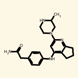 CC1CN(c2cc(Nc3ccc(CC(N)=O)cc3)c3c(n2)CCC3)CCN1